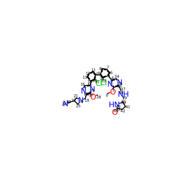 COc1nc(-c2cccc(-c3cccc(-c4cnc(CN5CC(C#N)C5)c(OC)n4)c3Cl)c2Cl)cnc1CNC[C@@H]1CCC(=O)N1